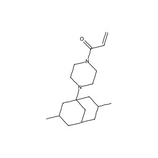 C=CC(=O)N1CCN(C23CC(C)CC(CC(C)C2)C3)CC1